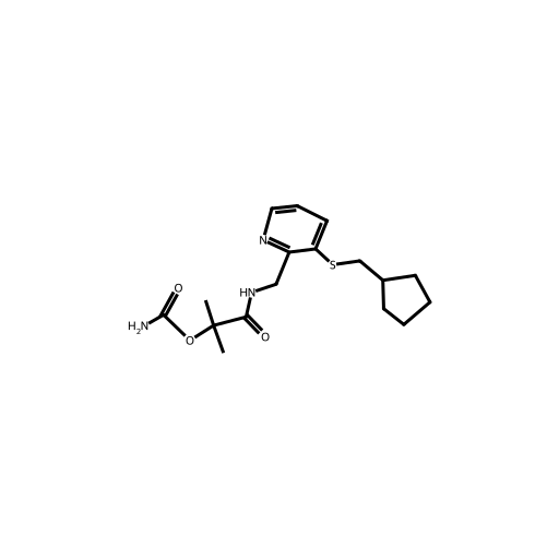 CC(C)(OC(N)=O)C(=O)NCc1ncccc1SCC1CCCC1